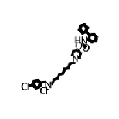 CN(CCCCCCCCCN1CCC(OC(=O)Nc2ccccc2-c2ccccc2)CC1)Cc1ccc(Cl)cc1Cl